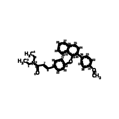 CCN(CC)C(=O)C=Cc1ccc(Oc2c(-c3ccc(OC)cc3)ccc3ccccc23)cc1